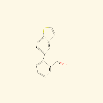 O=Cc1ccccc1-c1ccc2sccc2c1